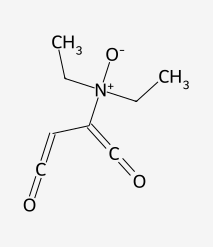 CC[N+]([O-])(CC)C(=C=O)C=C=O